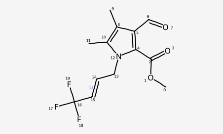 COC(=O)c1c(C=O)c(C)c(C)n1C/C=C/C(F)(F)F